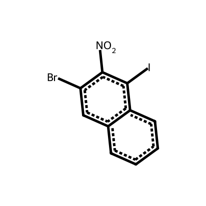 O=[N+]([O-])c1c(Br)cc2ccccc2c1I